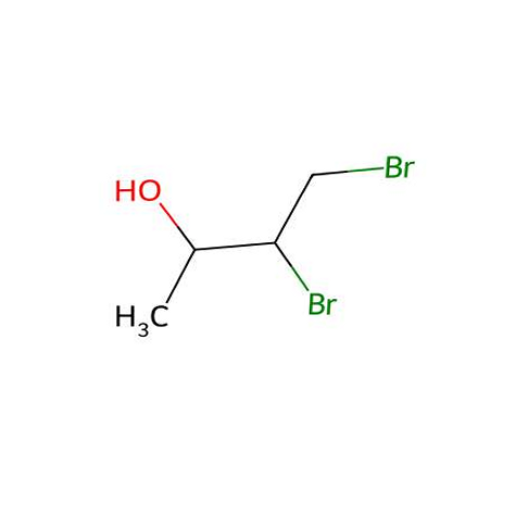 CC(O)C(Br)CBr